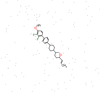 C/C=C/C1CCC(C2CCC(c3ccc(-c4ccc(OCCC)c(F)c4F)cc3)CC2)CO1